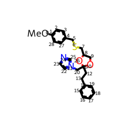 COc1ccc(CSCC2COC(CCc3ccccc3)(Cn3ccnc3)O2)cc1